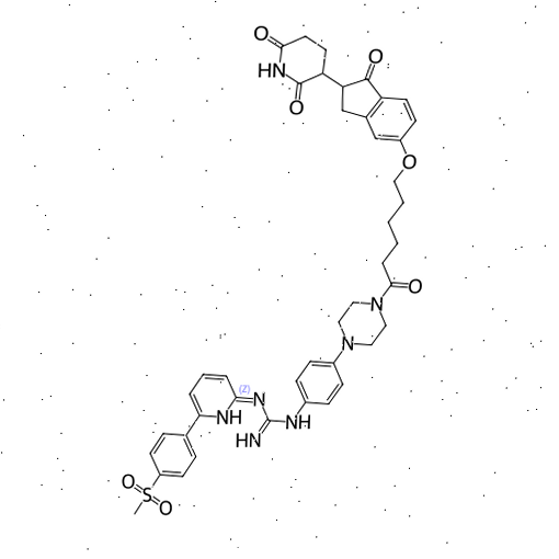 CS(=O)(=O)c1ccc(-c2ccc/c(=N/C(=N)Nc3ccc(N4CCN(C(=O)CCCCCOc5ccc6c(c5)CC(C5CCC(=O)NC5=O)C6=O)CC4)cc3)[nH]2)cc1